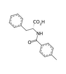 Cc1ccc(C(=O)N[C@H](Cc2ccccc2)C(=O)O)cc1